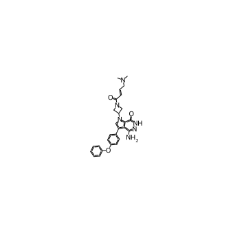 CN(C)C/C=C/C(=O)N1CC(n2cc(-c3ccc(Oc4ccccc4)cc3)c3c(N)n[nH]c(=O)c32)C1